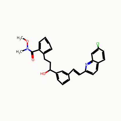 CON(C)C(=O)c1ccccc1CCC(O)c1cccc(C=Cc2ccc3ccc(Cl)cc3n2)c1